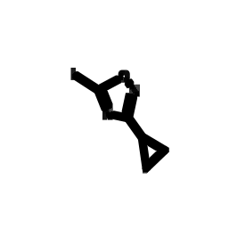 Ic1nc(C2CC2)no1